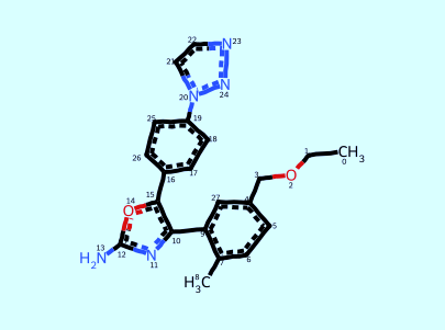 CCOCc1ccc(C)c(-c2nc(N)oc2-c2ccc(-n3ccnn3)cc2)c1